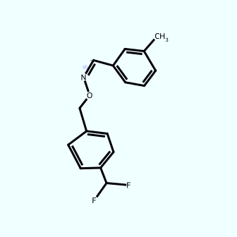 Cc1cccc(/[C]=N\OCc2ccc(C(F)F)cc2)c1